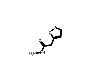 NNC(=O)CC1=CCOO1